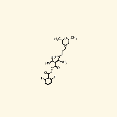 CCC(=N)/C(C(=O)OCC(=O)c1c(F)cccc1F)=C(/N)NCCCN1C[C@@H](C)O[C@@H](C)C1